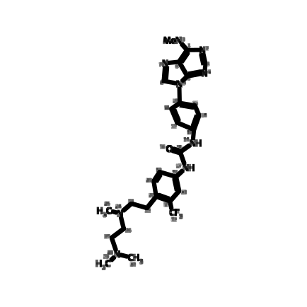 CNc1ncnc2c1ncn2-c1ccc(NC(=O)Nc2ccc(CCN(C)CCN(C)C)c(C(F)(F)F)c2)cc1